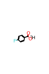 [2H]OC(=O)c1ccc(F)cc1